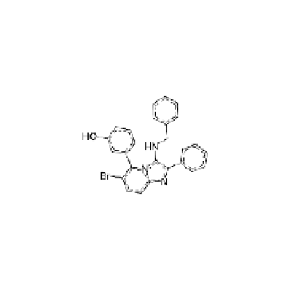 Oc1cccc(-c2c(Br)ccc3nc(-c4ccccc4)c(NCc4ccccc4)n23)c1